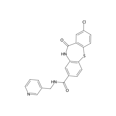 O=C(NCc1cccnc1)c1ccc2c(c1)NC(=O)c1cc(Cl)ccc1S2